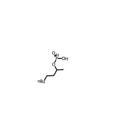 CCCCCCC(C)O[PH](=O)O